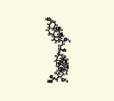 C[C@H](CCC(=O)O)[C@H]1CC[C@H]2[C@@H]3CC[C@@H]4C[C@H](OC(=O)CC[C@@H](C)[C@H]5CCC6C7CCC8C[C@@H](O)CC[C@]8(C)C7CC[C@@]65C)CC[C@]4(C)[C@H]3CC[C@]12C